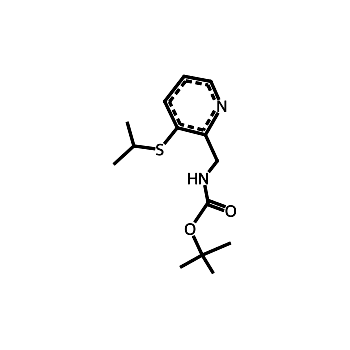 CC(C)Sc1cccnc1CNC(=O)OC(C)(C)C